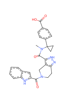 CN(C(=O)c1[nH]nc2c1CN(C(=O)c1cc3ccccc3[nH]1)CC2)C1(c2ccc(C(=O)O)cc2)CC1